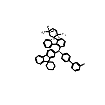 C[C@@H]1CC2CCCC1[C@@]1(c3ccccc3-c3c(N(c4ccc(-c5cccc(F)c5)cc4)c4ccc5c(c4)C4(CCCCC4)c4ccccc4-5)cccc31)[C@H]2C